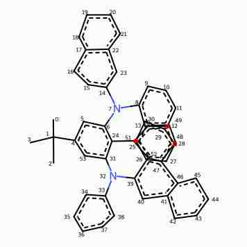 CC(C)(C)c1cc(N(c2ccccc2)c2ccc3ccccc3c2)c(-c2ccccc2)c(N(c2ccccc2)c2cc3ccccc3c3ccccc23)c1